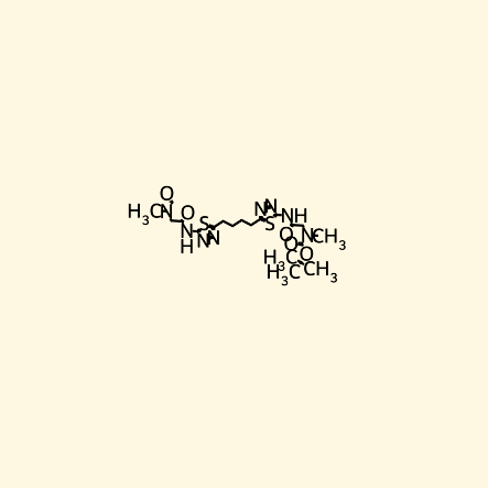 CN(C=O)CC(=O)Nc1nnc(CCCCc2nnc(NC(=O)CN(C)C(=O)OC(C)(C)C)s2)s1